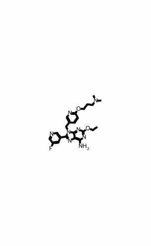 CCOc1nc(N)c2nc(-c3cncc(F)c3)n(Cc3ccc(OCCCN(C)C)nc3)c2n1